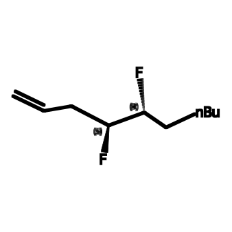 C=CC[C@H](F)[C@H](F)CCCCC